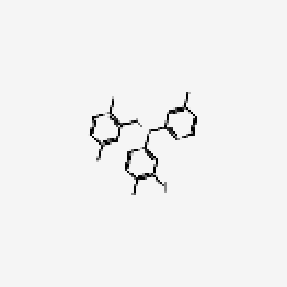 Cc1cccc([C@@H](Cc2cc(C)ccc2C)c2ccc(C)c(I)c2)c1